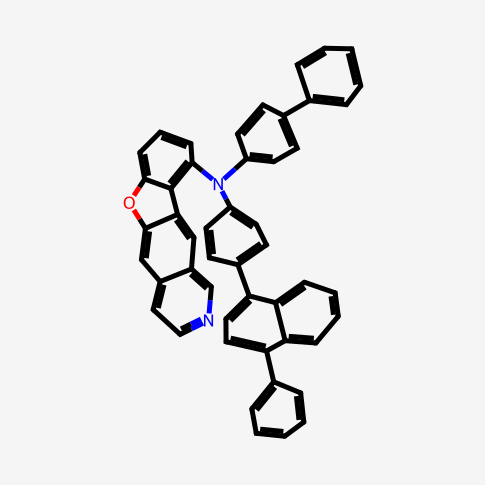 c1ccc(-c2ccc(N(c3ccc(-c4ccc(-c5ccccc5)c5ccccc45)cc3)c3cccc4oc5cc6ccncc6cc5c34)cc2)cc1